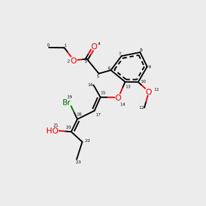 CCOC(=O)Cc1cccc(OC)c1O/C(C)=C/C(Br)=C(/O)CC